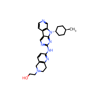 C[C@H]1CC[C@H](n2c3cnccc3c3cnc(Nc4ccc5c(n4)CCN(CCO)C5)nc32)CC1